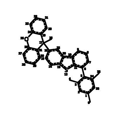 Cc1cc(C)c(-c2cccc3c2sc2ccc(C4(C)c5ccccc5Oc5ccccc54)cc23)c(C)c1